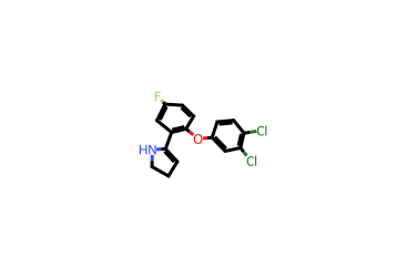 Fc1ccc(Oc2ccc(Cl)c(Cl)c2)c(C2=CCCN2)c1